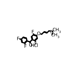 CN(C)C/C=C/COc1cc(F)c(C(=O)c2ccc(F)cc2F)cc1F.Cl